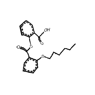 CCCCCCOc1ccccc1C(=O)Oc1ccccc1C(=O)O